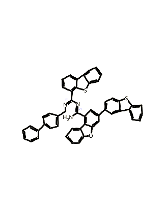 N/C(=N\C(=N/Cc1ccc(-c2ccccc2)cc1)c1cccc2c1sc1ccccc12)c1cc(-c2ccc3sc4ccccc4c3c2)cc2oc3ccccc3c12